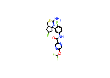 NC1=NC2(c3cc(NC(=O)c4cnc(OC(F)F)cn4)ccc3F)CC(F)CC2CS1